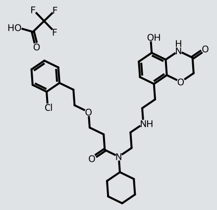 O=C(O)C(F)(F)F.O=C1COc2c(CCNCCN(C(=O)CCOCCc3ccccc3Cl)C3CCCCC3)ccc(O)c2N1